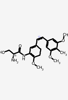 COC1=C(NC(=O)[C@@H](N)CO)C=C(/C=C\c2cc(OC)c(C)c(OC)c2)CC1